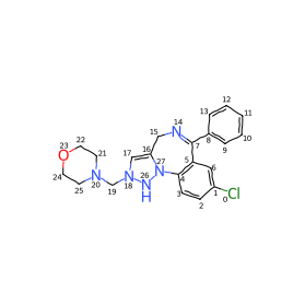 Clc1ccc2c(c1)C(c1ccccc1)=NCC1=CN(CN3CCOCC3)NN12